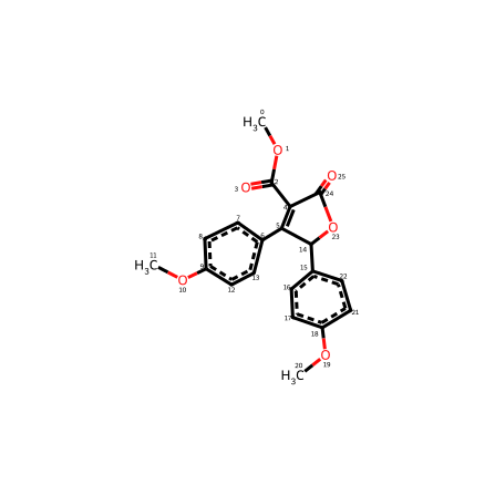 COC(=O)C1=C(c2ccc(OC)cc2)C(c2ccc(OC)cc2)OC1=O